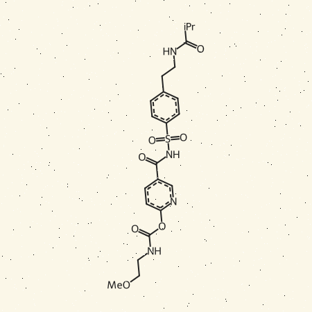 COCCNC(=O)Oc1ccc(C(=O)NS(=O)(=O)c2ccc(CCNC(=O)C(C)C)cc2)cn1